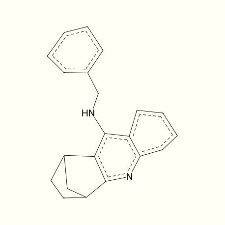 c1ccc(CNc2c3c(nc4ccccc24)C2CCC3C2)cc1